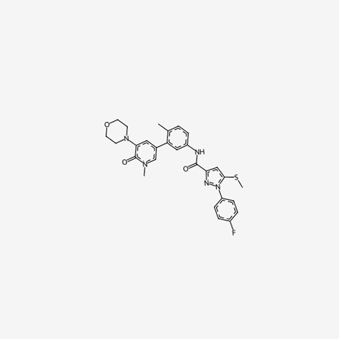 CSc1cc(C(=O)Nc2ccc(C)c(-c3cc(N4CCOCC4)c(=O)n(C)c3)c2)nn1-c1ccc(F)cc1